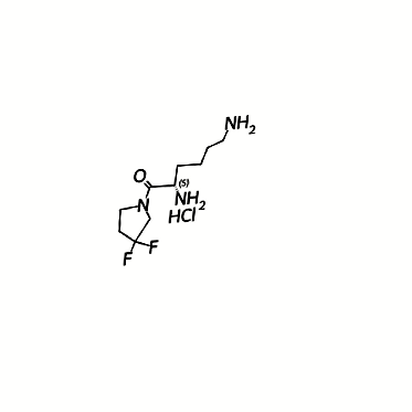 Cl.NCCCC[C@H](N)C(=O)N1CCC(F)(F)C1